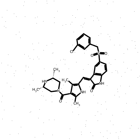 Cc1[nH]c(/C=C2\C(=O)Nc3ccc(S(=O)(=O)Cc4cccc(Cl)c4)cc32)c(C)c1C(=O)N1C[C@@H](C)N[C@@H](C)C1